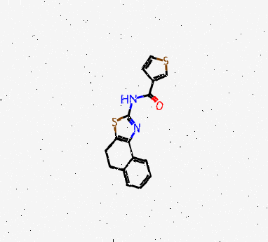 O=C(Nc1nc2c(s1)CCc1ccccc1-2)c1ccsc1